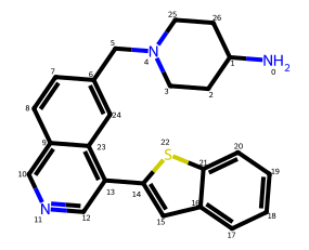 NC1CCN(Cc2ccc3cncc(-c4cc5ccccc5s4)c3c2)CC1